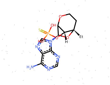 CC[C@@]12CCOC([C@H](n3cnc4c(N)ncnc43)O1)[C@H]2OP(O)(O)=S